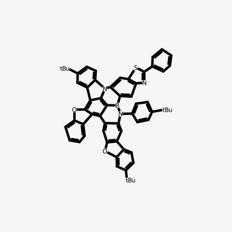 CC(C)(C)c1ccc(N2B3c4cc5nc(-c6ccccc6)sc5cc4-n4c5ccc(C(C)(C)C)cc5c5c6oc7ccccc7c6c(c3c54)-c3cc4oc5cc(C(C)(C)C)ccc5c4cc32)cc1